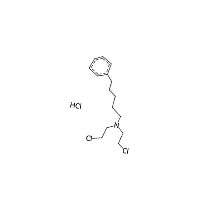 Cl.ClCCN(CCCl)CCCCCc1ccccc1